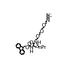 [CH2][CH]CSCC(NC(=O)OCC1c2ccccc2-c2ccccc21)C(=O)NCCOCCOCCOCCN=[N+]=[N-]